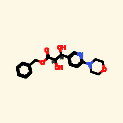 O=C(OCc1ccccc1)[C@H](O)[C@@H](O)c1ccc(N2CCOCC2)nc1